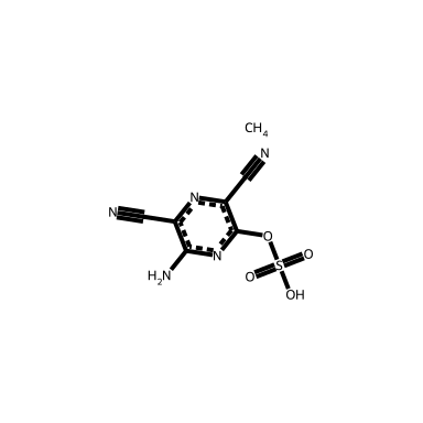 C.N#Cc1nc(C#N)c(OS(=O)(=O)O)nc1N